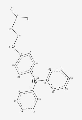 CC(C)CCOc1ccc([SH](c2ccccc2)c2ccccc2)cc1